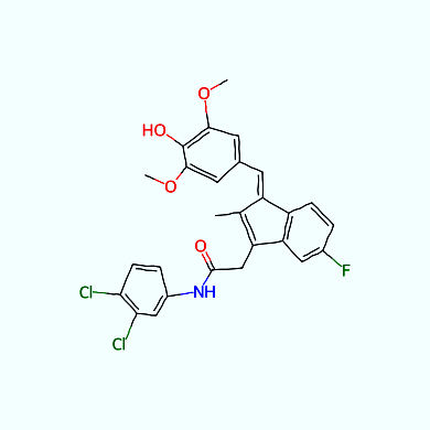 COc1cc(C=C2C(C)=C(CC(=O)Nc3ccc(Cl)c(Cl)c3)c3cc(F)ccc32)cc(OC)c1O